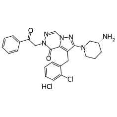 Cl.N[C@@H]1CCCN(c2nn3cnn(CC(=O)c4ccccc4)c(=O)c3c2Cc2ccccc2Cl)C1